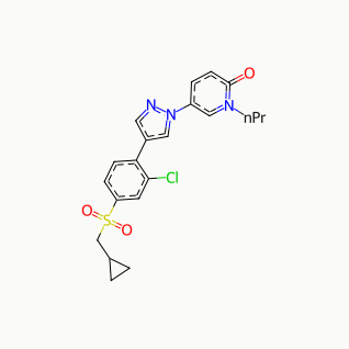 CCCn1cc(-n2cc(-c3ccc(S(=O)(=O)CC4CC4)cc3Cl)cn2)ccc1=O